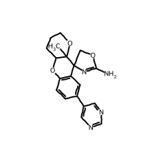 CC12OCCCC1Oc1ccc(-c3cncnc3)cc1C21COC(N)=N1